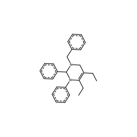 CCC1=C(CC)N(c2ccccc2)C(c2ccccc2)N(Cc2ccccc2)C1